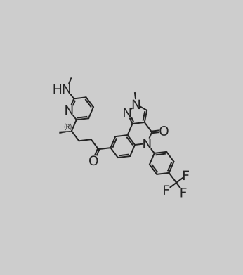 CNc1cccc([C@H](C)CCC(=O)c2ccc3c(c2)c2nn(C)cc2c(=O)n3-c2ccc(C(F)(F)F)cc2)n1